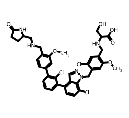 COc1cc(-c2cccc(-c3ccc(Cl)c4c3cnn4Cc3cc(OC)c(CNC(CO)C(=O)O)cc3Cl)c2Cl)ccc1CNCC1CCC(=O)N1